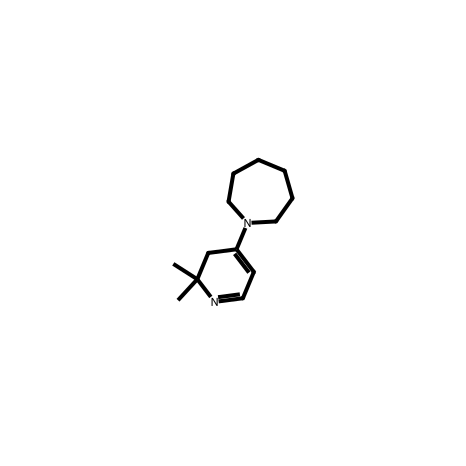 CC1(C)CC(N2CCCCCC2)=CC=N1